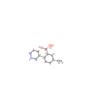 Cc1ccc(-c2cccnc2)c(C(=O)O)c1